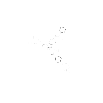 CCC(C)OC(=O)n1nc([AsH]C(=O)c2ccc(N3CCN(C)CC3)cc2)c2c1CN(C(=O)[C@H](OC)c1ccccc1)C2